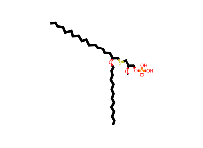 CCCCCCCCCCCCCCCCC(CSCC(COP(=O)(O)O)OC)OCCCCCCCCCCCCCC